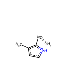 Cc1cc[nH]c1[N+](=O)[O-].[SiH4]